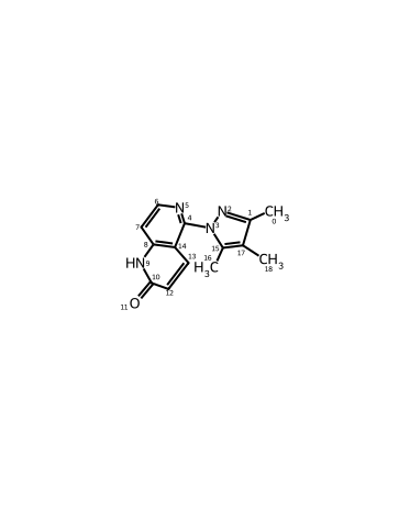 Cc1nn(-c2nccc3[nH]c(=O)ccc23)c(C)c1C